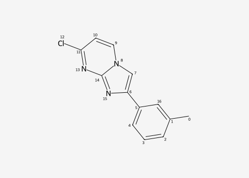 Cc1cccc(-c2cn3ccc(Cl)nc3n2)c1